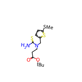 CSc1ccc(CN(CCC(=O)OC(C)(C)C)C(N)=S)s1